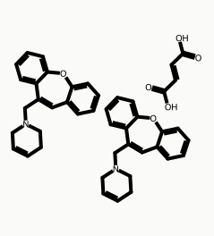 C1=CCN(CC2=Cc3ccccc3Oc3ccccc32)CC1.C1=CCN(CC2=Cc3ccccc3Oc3ccccc32)CC1.O=C(O)C=CC(=O)O